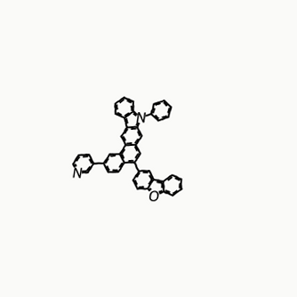 c1ccc(-n2c3ccccc3c3cc4c(cc(-c5ccc6oc7ccccc7c6c5)c5ccc(-c6cccnc6)cc54)cc32)cc1